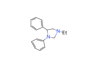 CCN1CC(c2ccccc2)N(c2ccccc2)C1